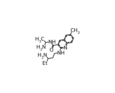 CCC(N)CCNc1nc2ccc(C)cc2cc1C(=O)NC(C)N